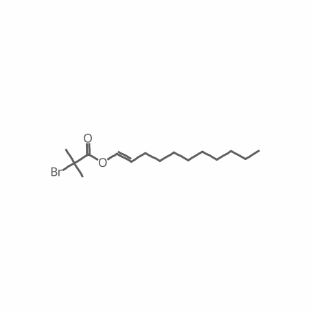 CCCCCCCCCC=COC(=O)C(C)(C)Br